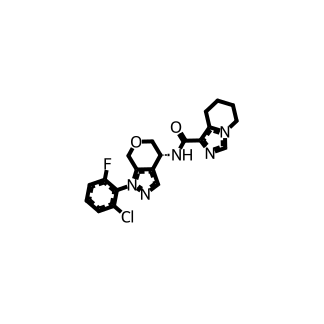 O=C(N[C@H]1COCc2c1cnn2-c1c(F)cccc1Cl)c1ncn2c1CCCC2